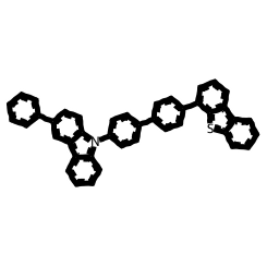 c1ccc(-c2ccc3c(c2)c2ccccc2n3-c2ccc(-c3ccc(-c4cccc5c4sc4ccccc45)cc3)cc2)cc1